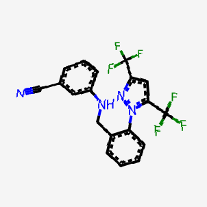 N#Cc1cccc(NCc2ccccc2-n2nc(C(F)(F)F)cc2C(F)(F)F)c1